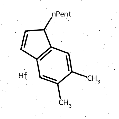 CCCCC[C]1C=Cc2cc(C)c(C)cc21.[Hf]